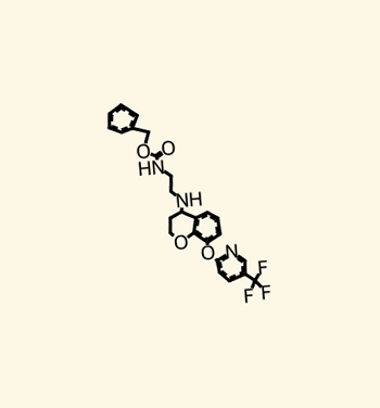 O=C(NCCNC1CCOc2c(Oc3ccc(C(F)(F)F)cn3)cccc21)OCc1ccccc1